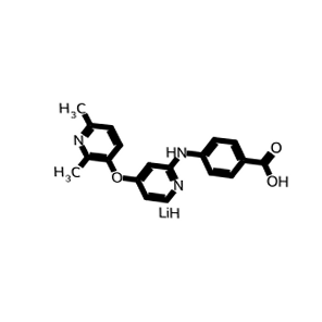 Cc1ccc(Oc2ccnc(Nc3ccc(C(=O)O)cc3)c2)c(C)n1.[LiH]